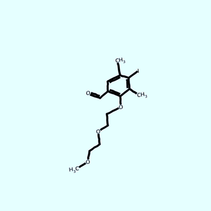 COCCOCCOc1c(C=O)cc(C)c(I)c1C